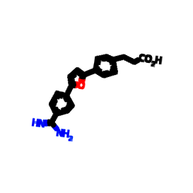 N=C(N)c1ccc(-c2ccc(-c3ccc(CCC(=O)O)cc3)o2)cc1